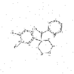 OC(c1ccccn1)C1(c2ccc(Cl)c(Cl)c2)CCOCC1